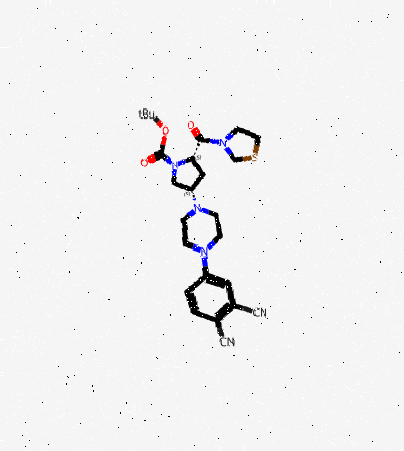 CC(C)(C)OC(=O)N1C[C@@H](N2CCN(c3ccc(C#N)c(C#N)c3)CC2)C[C@H]1C(=O)N1CCSC1